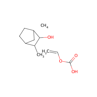 C.C=COC(=O)O.CC1C2CCC(C2)C1O